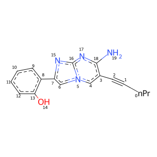 CCCC#Cc1cn2cc(-c3ccccc3O)nc2nc1N